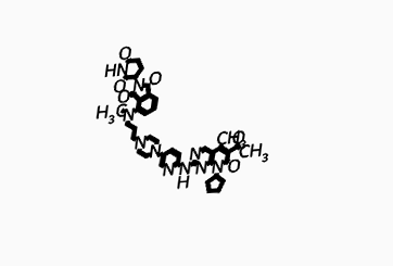 CC(=O)c1c(C)c2cnc(Nc3ccc(N4CCN(CCCN(C)c5cccc6c5C(=O)N(C5CCC(=O)NC5=O)C6=O)CC4)cn3)nc2n(C2CCCC2)c1=O